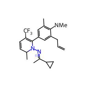 C=CCc1cc(C2=C(C(F)(F)F)C=CC(C)N2/N=C(\C)C2CC2)cc(C)c1NC